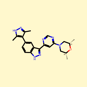 Cc1n[nH]c(C)c1-c1ccc2[nH]nc(-c3cc(N4C[C@@H](C)O[C@@H](C)C4)ncn3)c2c1